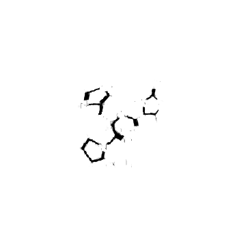 C[C@@H]1OC(=O)N[C@@H]1C(=O)N[C@@H](Cc1cscn1)C(=O)N1CCC[C@H]1C